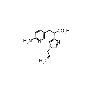 C=CCn1cnc(C(Cc2ccc(N)nc2)C(=O)O)c1